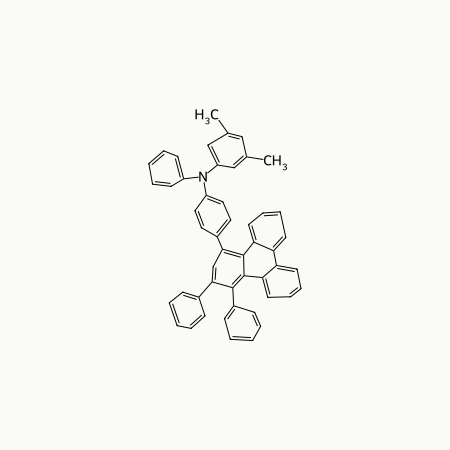 Cc1cc(C)cc(N(c2ccccc2)c2ccc(-c3cc(-c4ccccc4)c(-c4ccccc4)c4c5ccccc5c5ccccc5c34)cc2)c1